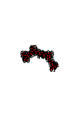 c1ccc(N(c2ccccc2)c2ccc(-c3ccc4c(c3)c3ccccc3n4-c3ccc(-c4ccc(-c5ccc(-n6c7ccccc7c7cc(-c8ccc(N(c9ccccc9)c9ccccc9)cc8)ccc76)cc5)nn4)cc3)cc2)cc1